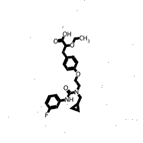 CCOC(Cc1ccc(OCCN(CC2CC2)C(=O)Nc2cccc(F)c2)cc1)C(=O)O